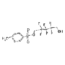 Cc1ccc(S(=O)(=O)OCC(F)(F)C(F)(F)C(F)(F)CO)cc1